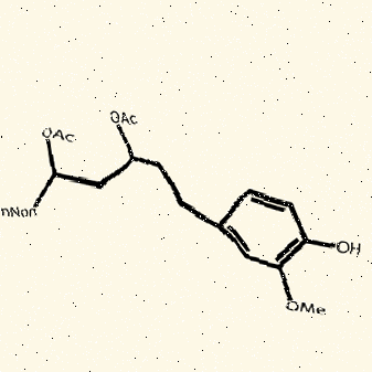 CCCCCCCCCC(CC(CCc1ccc(O)c(OC)c1)OC(C)=O)OC(C)=O